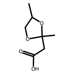 CC1COC(C)(CC(=O)O)O1